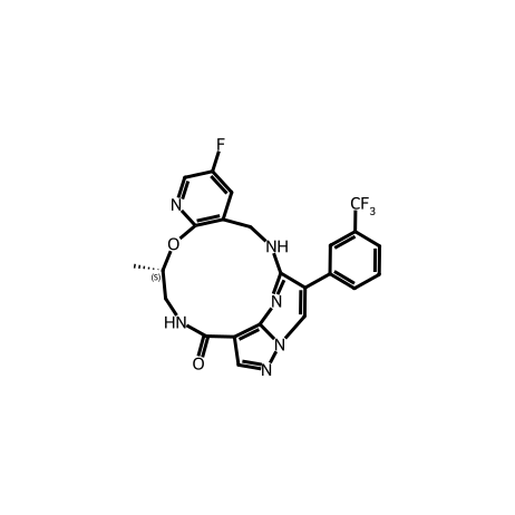 C[C@H]1CNC(=O)c2cnn3cc(-c4cccc(C(F)(F)F)c4)c(nc23)NCc2cc(F)cnc2O1